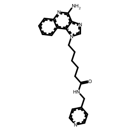 Nc1nc2ccccc2c2c1ncn2CCCCCC(=O)NCc1ccncc1